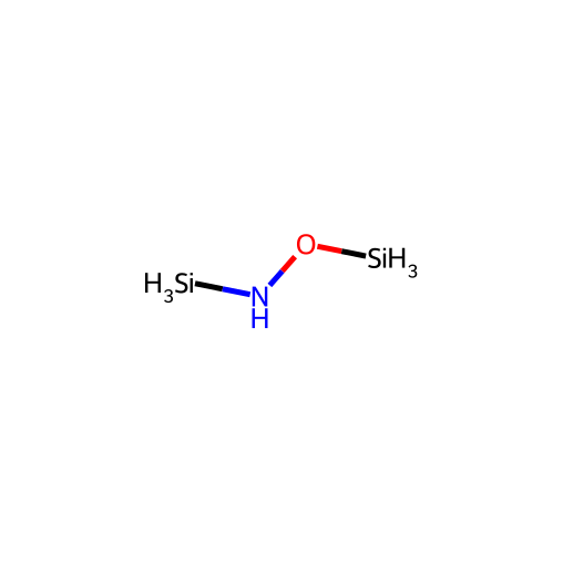 [SiH3]NO[SiH3]